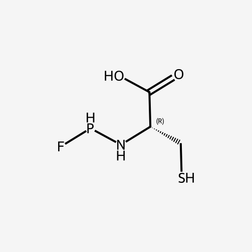 O=C(O)[C@H](CS)NPF